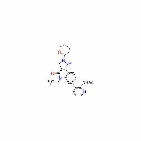 CC(=O)Nc1ncccc1-c1ccc2c3c(c(=O)n(CC(F)(F)F)c2c1)CN(C1CCCCO1)N3